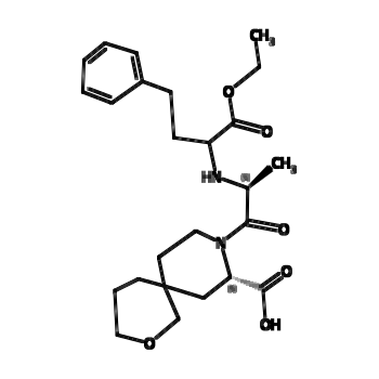 CCOC(=O)C(CCc1ccccc1)N[C@@H](C)C(=O)N1CCC2(CCCOC2)C[C@H]1C(=O)O